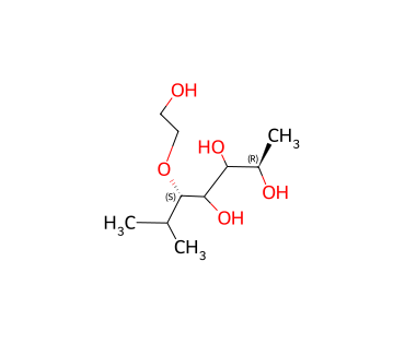 CC(C)[C@H](OCCO)C(O)C(O)[C@@H](C)O